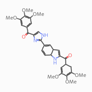 COC1=CC(C(=O)C2=CC3C=C(c4nc(C(=O)c5cc(OC)c(OC)c(OC)c5)c[nH]4)C=CC3N2)CC(OC)=C1OC